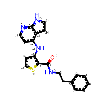 O=C(NCCc1ccccc1)c1sccc1Nc1ccnc2[nH]ccc12